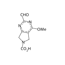 COc1nc(C=O)nc2c1CN(C(=O)O)C2